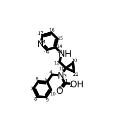 O=C(O)N(Cc1ccccc1)C1(CNc2cccnc2)CC1